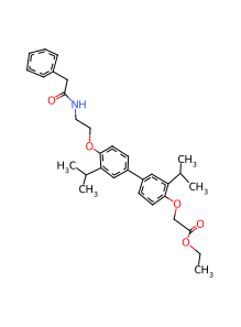 CCOC(=O)COc1ccc(-c2ccc(OCCNC(=O)Cc3ccccc3)c(C(C)C)c2)cc1C(C)C